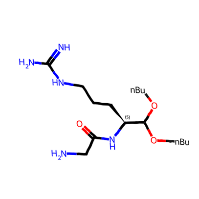 CCCCOC(OCCCC)[C@H](CCCNC(=N)N)NC(=O)CN